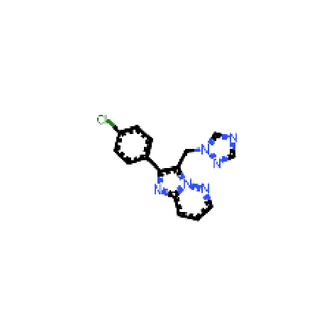 Clc1ccc(-c2nc3cccnn3c2Cn2cncn2)cc1